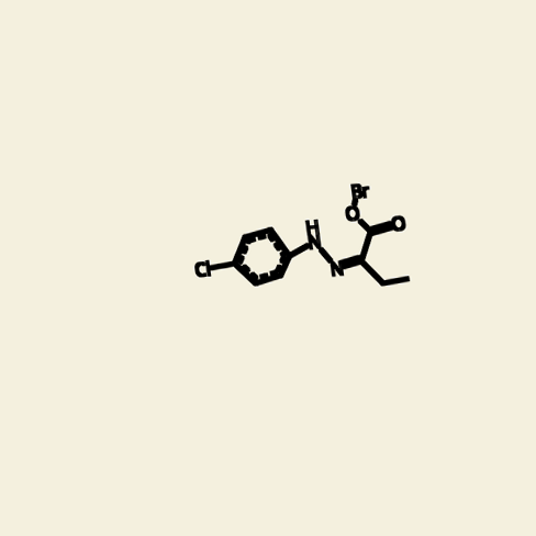 CCC(=NNc1ccc(Cl)cc1)C(=O)OBr